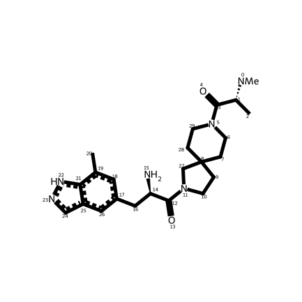 CN[C@H](C)C(=O)N1CCC2(CCN(C(=O)[C@H](N)Cc3cc(C)c4[nH]ncc4c3)C2)CC1